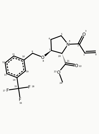 C=CC(=O)N1CC[C@H](OCc2cccc(C(F)(F)F)c2)[C@H]1C(=O)OC